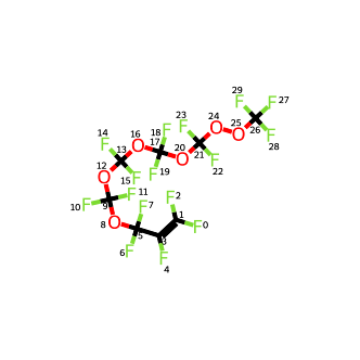 FC(F)=C(F)C(F)(F)OC(F)(F)OC(F)(F)OC(F)(F)OC(F)(F)OOC(F)(F)F